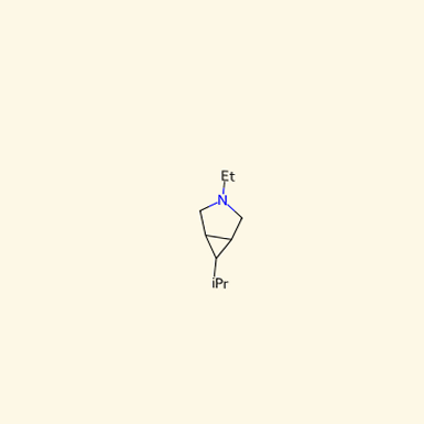 CCN1CC2C(C1)C2C(C)C